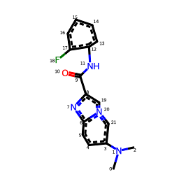 CN(C)c1ccc2nc(C(=O)Nc3ccccc3F)cn2c1